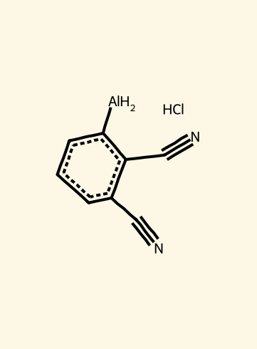 Cl.N#Cc1ccc[c]([AlH2])c1C#N